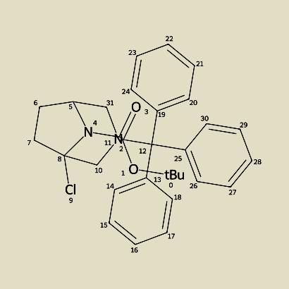 CC(C)(C)OC(=O)N1C2CCC1(Cl)CN(C(c1ccccc1)(c1ccccc1)c1ccccc1)C2